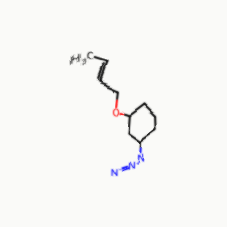 CC=CCOC1CCCC(N=[N+]=[N-])C1